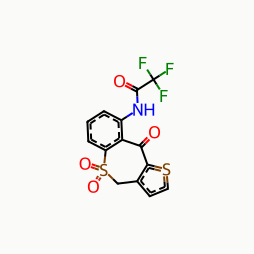 O=C1c2sccc2CS(=O)(=O)c2cccc(NC(=O)C(F)(F)F)c21